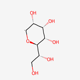 OC[C@@H](O)[C@H]1O[CH][C@H](O)[C@H](O)[C@@H]1O